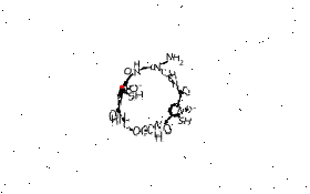 NCCN1CCNC(=O)c2ccc(c(S)[n+]2[O-])C(=O)NCCOCCNC(=O)c2ccc([n+]([O-])c2S)C(=O)NCC1